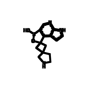 OB1OC2(CC3(CCNC3)C2)c2c1cnc1[nH]ccc21